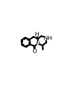 CC1CNC[C@H]2Cc3ccccc3C(=O)N12